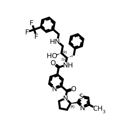 Cc1csc([C@H]2CCCN2C(=O)c2cc(C(=O)N[C@@H](Cc3ccccc3)[C@H](O)CNCc3cccc(C(F)(F)F)c3)ccn2)n1